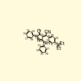 CCN(CC)c1ccc(/C(C#N)=C2/C(=O)N(c3ccccc3)N=C2Nc2ccccc2)cc1